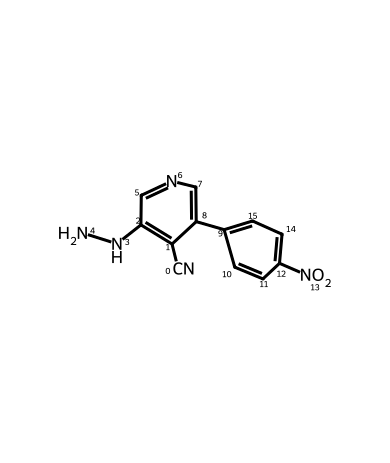 N#Cc1c(NN)cncc1-c1ccc([N+](=O)[O-])cc1